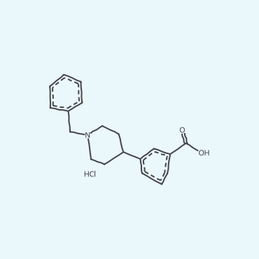 Cl.O=C(O)c1cccc(C2CCN(Cc3ccccc3)CC2)c1